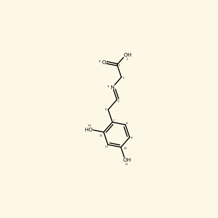 O=C(O)CN=CCc1ccc(O)cc1O